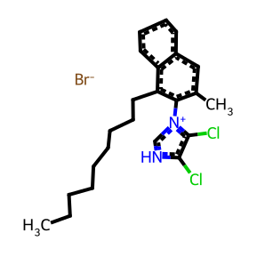 CCCCCCCCCc1c(-[n+]2c[nH]c(Cl)c2Cl)c(C)cc2ccccc12.[Br-]